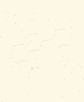 Cc1ccc(F)cc1-c1ccc2c[c]nc(C(N)=O)c2c1